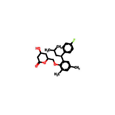 Cc1cc(C)c(OCC2CC(O)CC(=O)O2)c([C@@H](CC(C)C)c2ccc(F)cc2)c1